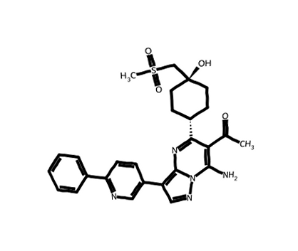 CC(=O)c1c(N)n2ncc(-c3ccc(-c4ccccc4)nc3)c2nc1[C@H]1CC[C@@](O)(CS(C)(=O)=O)CC1